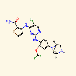 CN1C[C@H]2C[C@@H]1CN2c1ccc(Nc2ncc(Cl)c(Nc3ccsc3C(N)=O)n2)c(OC(F)F)c1